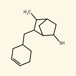 CC1C2CC(S)C(C2)C1CC1CC=CCC1